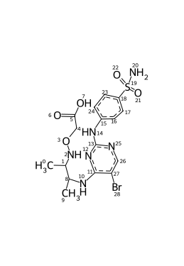 CC(NOCC(=O)O)C(C)Nc1nc(Nc2ccc(S(N)(=O)=O)cc2)ncc1Br